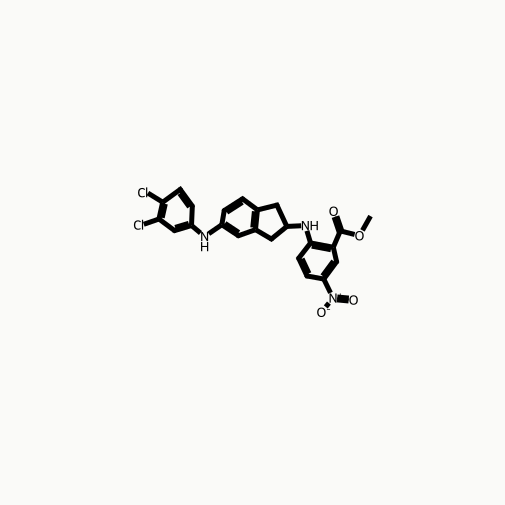 COC(=O)c1cc([N+](=O)[O-])ccc1NC1Cc2ccc(Nc3ccc(Cl)c(Cl)c3)cc2C1